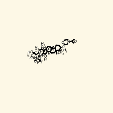 C[C@@H]1C[C@H]([C@H](NS(=O)(=O)C(F)(F)F)C(C)(C)O)O[C@H]2[C@H]1[C@@]1(C)CCC34C[C@@]35CC[C@H](O[C@H]3CN(C6COC6)CCO3)C(C)(C)[C@@H]5CC[C@H]4[C@]1(C)[C@H]2O